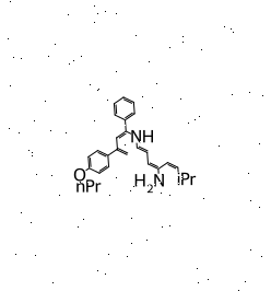 C=C(/C=C(\N/C=C/C=C(N)\C=C/C(C)C)c1ccccc1)c1ccc(OCCC)cc1